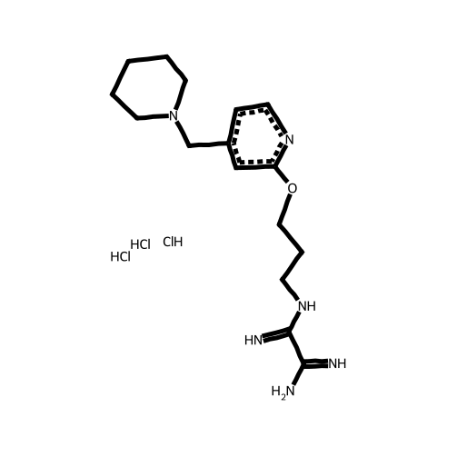 Cl.Cl.Cl.N=C(N)C(=N)NCCCOc1cc(CN2CCCCC2)ccn1